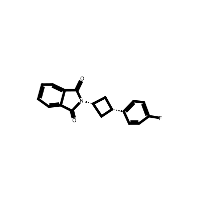 O=C1c2ccccc2C(=O)N1[C@H]1C[C@@H](c2ccc(F)cc2)C1